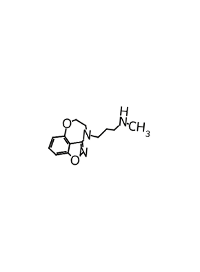 CNCCCN1CCOc2cccc3onc1c23